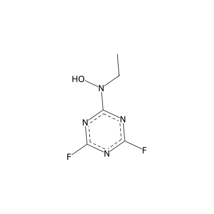 CCN(O)c1nc(F)nc(F)n1